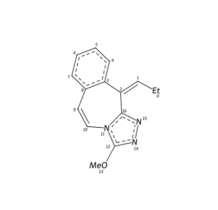 CCC=C1c2ccccc2C=Cn2c(OC)nnc21